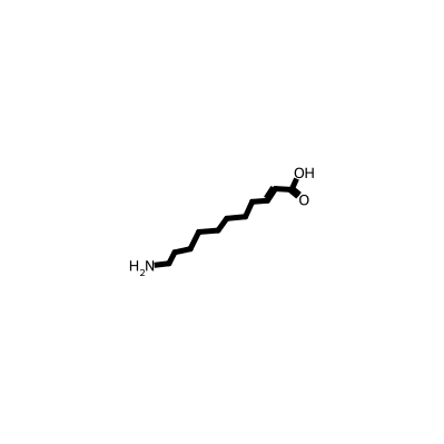 NCCCCCCCCC=CC(=O)O